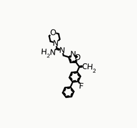 C=C(c1ccc(-c2ccccc2)c(F)c1)c1cc(C/N=C(\N)N2CCOCC2)no1